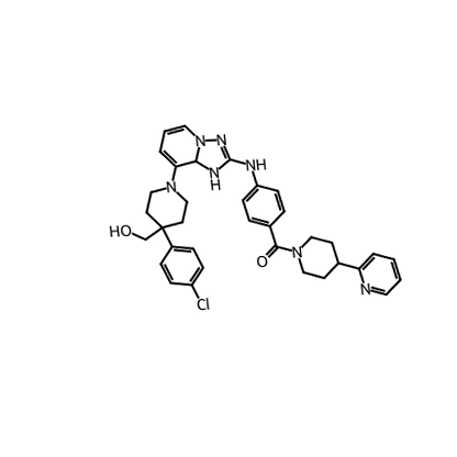 O=C(c1ccc(NC2=NN3C=CC=C(N4CCC(CO)(c5ccc(Cl)cc5)CC4)C3N2)cc1)N1CCC(c2ccccn2)CC1